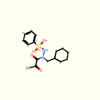 CCC(=O)C(=O)N(CC1CCCCC1)NS(=O)(=O)c1ccccc1